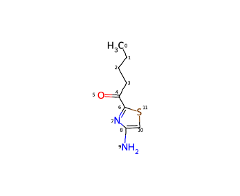 CCCCC(=O)c1nc(N)cs1